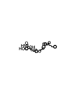 O=C(CCCc1ccccc1)N1CCOC2(CCN(CCOc3ccc(CNC[C@H](O)c4ccc(O)c5[nH]c(=O)sc45)cc3)CC2)C1